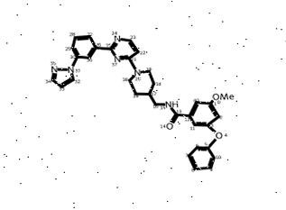 COc1cc(Oc2ccccc2)cc(C(=O)NCC2CCN(c3ccnc(-c4cccc(-n5cccn5)c4)n3)CC2)c1